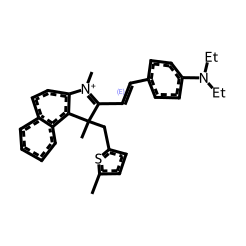 CCN(CC)c1ccc(/C=C/C2=[N+](C)c3ccc4ccccc4c3C2(C)Cc2ccc(C)s2)cc1